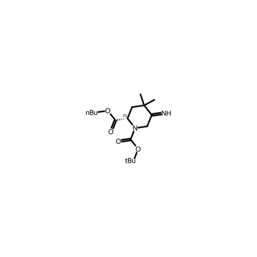 CCCCOC(=O)[C@@H]1CC(C)(C)C(=N)CN1C(=O)OC(C)(C)C